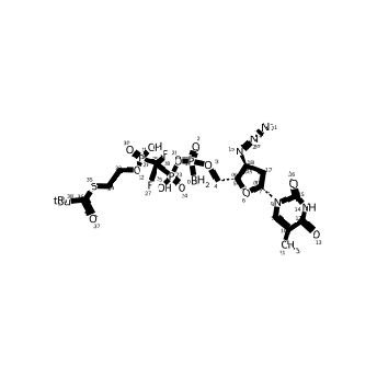 BP(=O)(OC[C@H]1O[C@@H](n2cc(C)c(=O)[nH]c2=O)C[C@@H]1N=[N+]=[N-])OP(=O)(O)C(F)(F)P(=O)(O)OCCSC(=O)C(C)(C)C